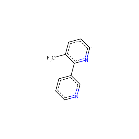 FC(F)(F)c1cc[c]nc1-c1cccnc1